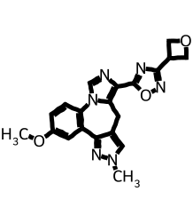 COc1ccc2c(c1)-c1nn(C)cc1Cc1c(-c3nc(C4COC4)no3)ncn1-2